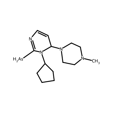 CN1CCN(C2C=CN=C([AsH2])N2C2CCCC2)CC1